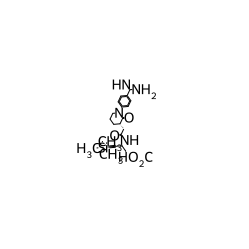 C[Si](C)(C)C#CC(CC(=O)O)NC(=O)C[C@@H]1CCCN(c2ccc(C(=N)N)cc2)C1=O